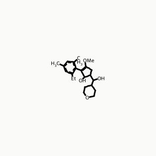 CCc1cc(C)cc(C)c1C1=C(OC)CC(C(O)C2CCOCC2)C1O